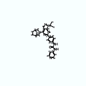 CC(C)n1ncc2c(N3CC4CCC(C3)O4)nc(-c3ccc(NC(=O)Nc4ccncc4)cc3)nc21